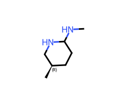 CNC1CC[C@@H](C)CN1